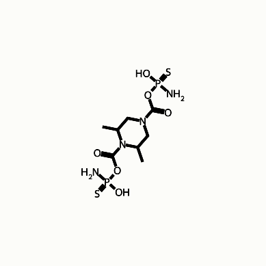 CC1CN(C(=O)OP(N)(O)=S)CC(C)N1C(=O)OP(N)(O)=S